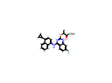 COC(=O)C(C)Sc1nc(Nc2ccc(C3CC3)c3ccccc23)c2ccc(F)cc2n1